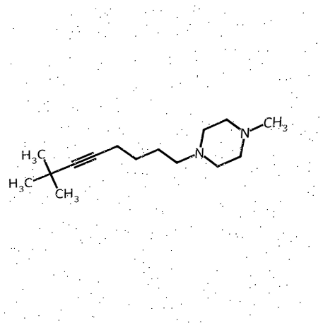 CN1CCN(CCCCC#CC(C)(C)C)CC1